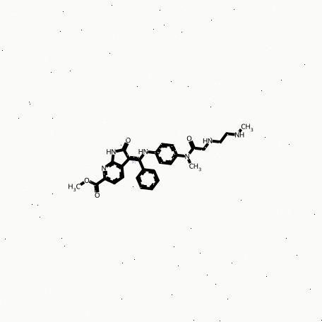 CNCCNCC(=O)N(C)c1ccc(N/C(=C2\C(=O)Nc3nc(C(=O)OC)ccc32)c2ccccc2)cc1